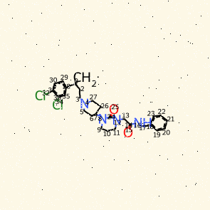 [CH2]C(CCN1CCC(N2CCCN(CC(=O)NCc3ccccc3)C2=O)CC1)c1ccc(Cl)c(Cl)c1